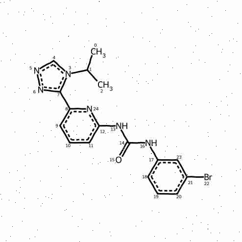 CC(C)n1cnnc1-c1cccc(NC(=O)Nc2cccc(Br)c2)n1